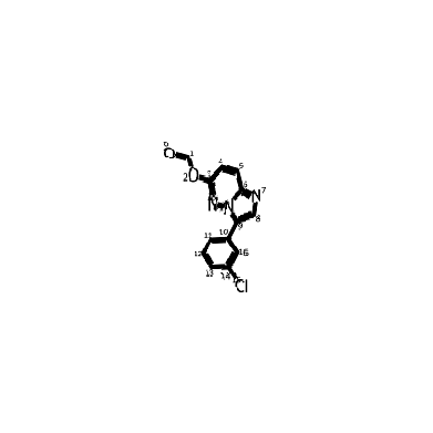 O=COc1ccc2ncc(-c3cccc(Cl)c3)n2n1